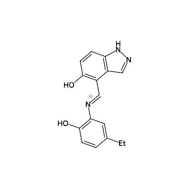 CCc1ccc(O)c(/N=C/c2c(O)ccc3[nH]ncc23)c1